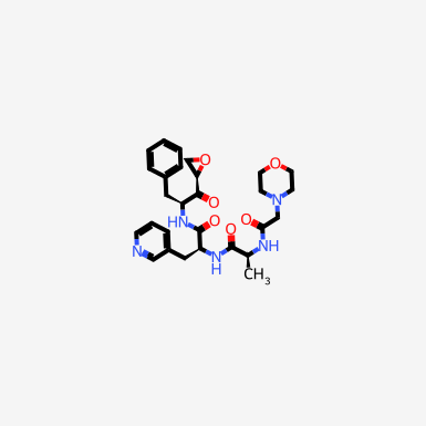 C[C@H](NC(=O)CN1CCOCC1)C(=O)N[C@@H](Cc1cccnc1)C(=O)N[C@@H](Cc1ccccc1)C(=O)[C@H]1CO1